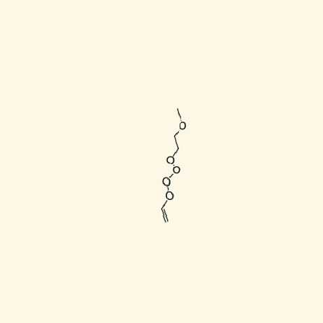 C=COOOOCCOC